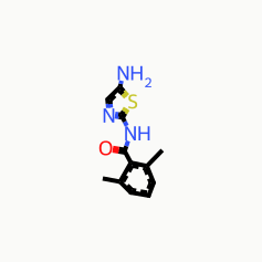 Cc1cccc(C)c1C(=O)Nc1ncc(N)s1